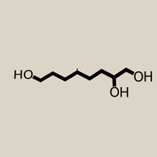 OCCC[CH]CCC(O)CO